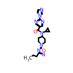 CCCc1noc(N2CCC(N(C(=O)c3cnc(-n4ccnc4)nc3)C3CC3)CC2)n1